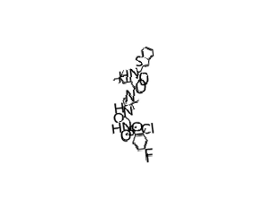 CC(C)CC(NC(=O)c1cc2ccccc2s1)C(=O)N1C[C@H]2N(C(=O)CNS(=O)(=O)c3ccc(F)cc3Cl)CC21C